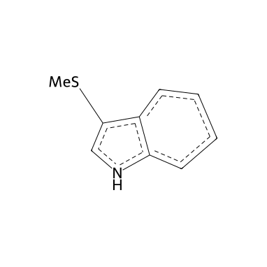 CSc1c[nH]c2ccccc12